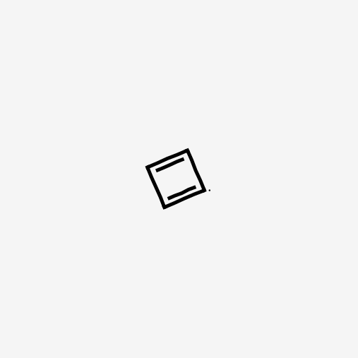 [C]1=CC=C1